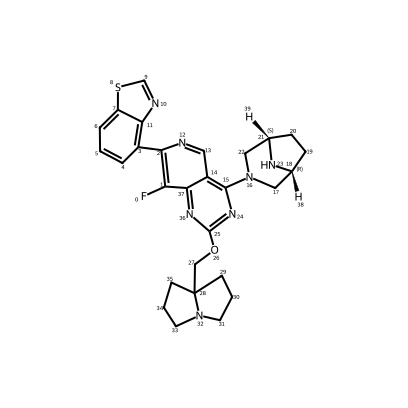 Fc1c(-c2cccc3scnc23)ncc2c(N3C[C@H]4CC[C@@H](C3)N4)nc(OCC34CCCN3CCC4)nc12